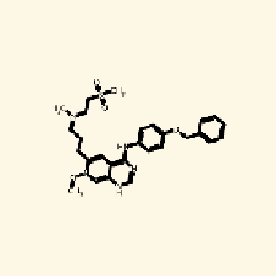 CON1C=C2NC=NC(Nc3ccc(OCc4ccccc4)cc3)=C2C=C1CCCN(C)CCS(C)(=O)=O